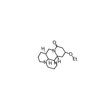 CCOC1CC(=O)N2C[C@@H]3CCCN4CCC[C@@H]([C@H]34)[C@H]2C1